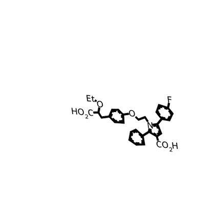 CCOC(Cc1ccc(OCCn2c(-c3ccc(F)cc3)cc(C(=O)O)c2-c2ccccc2)cc1)C(=O)O